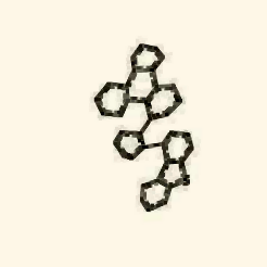 c1ccc(-c2cccc3c4ccccc4c4ccccc4c23)c(-c2cccc3sc4ccccc4c23)c1